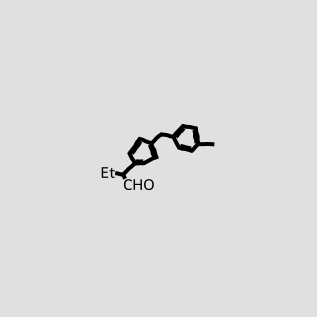 CCC(C=O)c1ccc(Cc2ccc(C)cc2)cc1